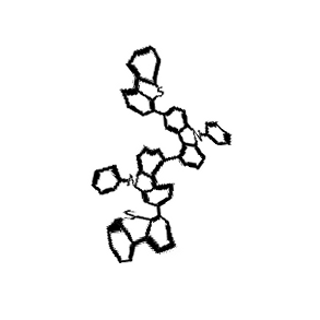 c1ccc(-n2c3ccc(-c4cccc5c4sc4ccccc45)cc3c3c(-c4cccc5c4c4ccc(-c6cccc7c6sc6ccccc67)cc4n5-c4ccccc4)cccc32)cc1